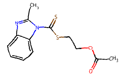 CC(=O)OCCSC(=S)n1c(C)nc2ccccc21